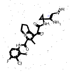 Cc1c(C(=O)C(=O)NC2(/C(N)=C/N=N)CC2)c2n(c1C(=O)Nc1ccc(F)c(Cl)c1F)CCC2